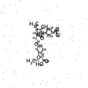 CCOC(Cc1ccc(OCCN(CC(CC)CC)C(=O)Nc2ccc([N+](=O)[O-])cc2)cc1)C(=O)O